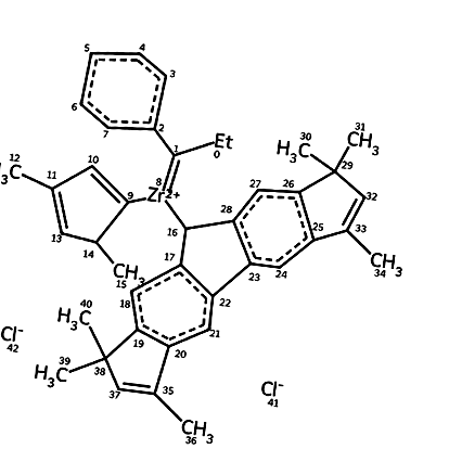 CC/[C](c1ccccc1)=[Zr+2](/[C]1=CC(C)=CC1C)[CH]1c2cc3c(cc2-c2cc4c(cc21)C(C)(C)C=C4C)C(C)=CC3(C)C.[Cl-].[Cl-]